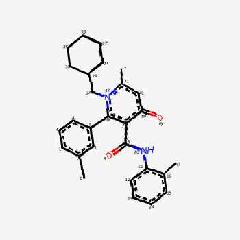 Cc1cccc(-c2c(C(=O)Nc3ccccc3C)c(=O)cc(C)n2CC2CCCCC2)c1